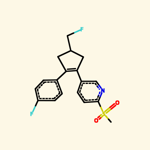 CS(=O)(=O)c1ccc(C2=C(c3ccc(F)cc3)CC(CF)C2)cn1